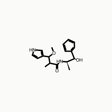 COC(c1cc[nH]c1)C(C)C(=O)N[C@H](C)[C@@H](O)c1ccccc1